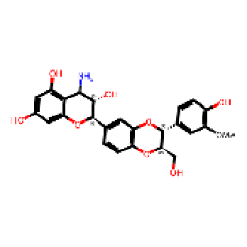 COc1cc([C@H]2Oc3cc([C@H]4Oc5cc(O)cc(O)c5C(N)[C@@H]4O)ccc3O[C@@H]2CO)ccc1O